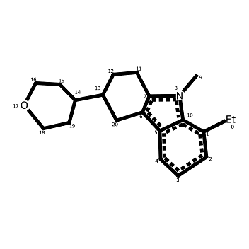 CCc1cccc2c3c(n(C)c12)CCC(C1CCOCC1)C3